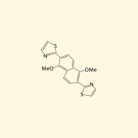 COc1c(-c2nccs2)ccc2c(OC)c(-c3nccs3)ccc12